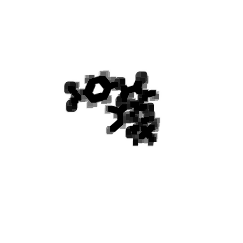 CCC(C)SP(=O)(NS(=O)(=O)C(F)(F)F)N(C)C(=O)C(=O)Oc1ccc([N+](=O)[O-])cc1